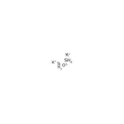 [K+].[K+].[O-2].[SiH4].[SiH4]